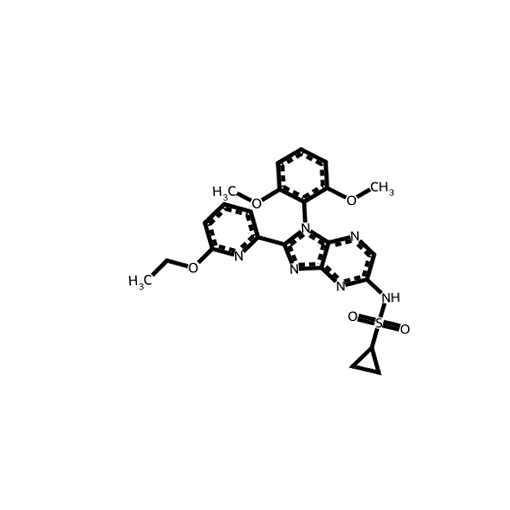 CCOc1cccc(-c2nc3nc(NS(=O)(=O)C4CC4)cnc3n2-c2c(OC)cccc2OC)n1